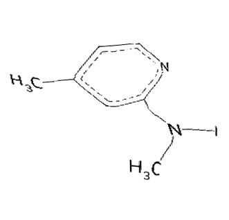 Cc1ccnc(N(C)I)c1